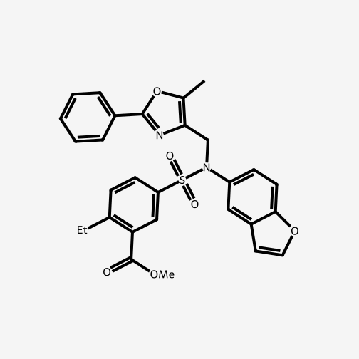 CCc1ccc(S(=O)(=O)N(Cc2nc(-c3ccccc3)oc2C)c2ccc3occc3c2)cc1C(=O)OC